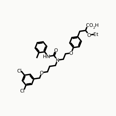 CCOC(Cc1ccc(OCCN(CCCOCc2cc(Cl)cc(Cl)c2)C(=O)Nc2ccccc2C)cc1)C(=O)O